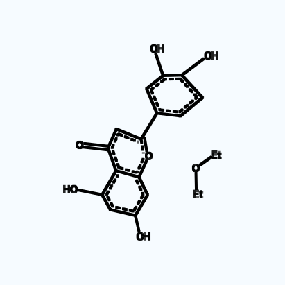 CCOCC.O=c1cc(-c2ccc(O)c(O)c2)oc2cc(O)cc(O)c12